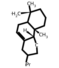 [CH2][C@@]1(C)CCC[C@@]2(C)C1CC=C1CC(C(C)C)CC[C@H]12